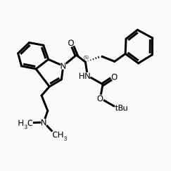 CN(C)CCc1cn(C(=O)[C@H](CCc2ccccc2)NC(=O)OC(C)(C)C)c2ccccc12